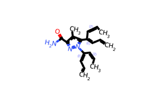 C=C/C=C(\C=C/C)c1c(C)c(C(N)=O)nn1C(/C=C\C)=C/C=C